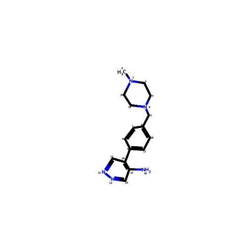 CN1CCN(Cc2ccc(-c3cnncc3N)cc2)CC1